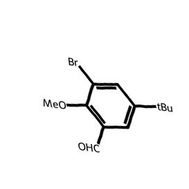 COc1c(Br)cc(C(C)(C)C)cc1C=O